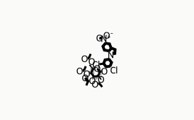 CC(=O)OC[C@H]1O[C@H](Oc2c(Cl)cc(-n3ccc4cc([N+](=O)[O-])ccc43)cc2Cl)[C@@H](OC(C)=O)[C@@H](OC(C)=O)[C@@H]1OC(C)=O